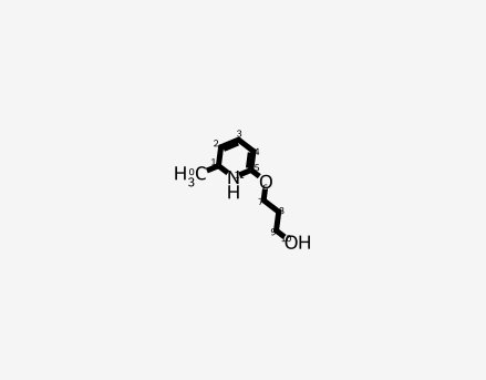 CC1C=CC=C(OCCCO)N1